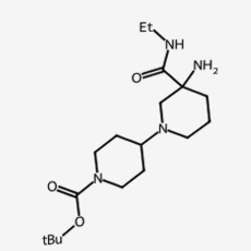 CCNC(=O)C1(N)CCCN(C2CCN(C(=O)OC(C)(C)C)CC2)C1